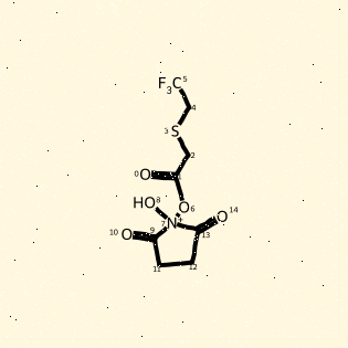 O=C(CSCC(F)(F)F)O[N+]1(O)C(=O)CCC1=O